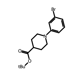 CC(C)(C)OC(=O)C1CCN(c2cccc(Br)c2)CC1